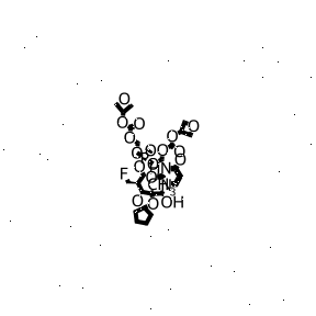 C[C@@]1([C@@H](O)n2ccc(=O)[nH]c2=O)OC2(CCCC2)O[C@@H]1[C@@H](CF)COP(=O)(OCOC(=O)OC1COC1)OCOC(=O)OC1COC1